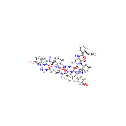 CC(=O)N[C@@H]1CCCC[C@@H]1C(=O)N[C@@H](CCCCN)C(=O)NC1CCCC[C@@H]1C(=O)N[C@@H](Cc1ccc(O)cc1)C(=O)NC1CCCC[C@@H]1C(=O)N[C@@H](CCCCN)C(=O)NC1CCCC[C@@H]1C(=O)N[C@@H](Cc1ccc(O)cc1)C(N)=O